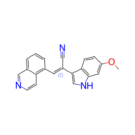 COc1ccc2c(/C(C#N)=C/c3cccc4cnccc34)c[nH]c2c1